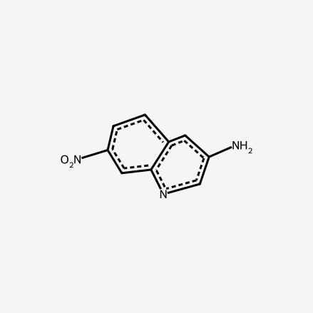 Nc1cnc2cc([N+](=O)[O-])ccc2c1